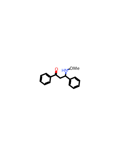 CONC(CC(=O)c1ccccc1)c1ccccc1